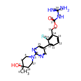 CC1(O)CCN(c2ncc(-c3cccc(COC(=O)NC(=N)N)c3F)cn2)CC1